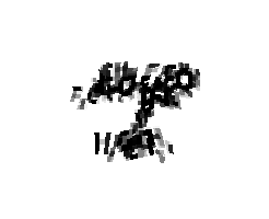 Cn1cc(C(F)(F)F)nc1-c1ccc(Sc2cn(COCC[Si](C)(C)C)c3cnc(-c4ccccc4C(F)(F)F)nc23)cc1